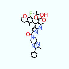 CC1=NC2(CCN(C(=O)c3cc4c(-c5cc(F)c6c(c5C)CCCO6)c([C@H](OC(C)(C)C)C(=O)O)c(C)nc4n3C)CC2)N=C1c1ccccc1